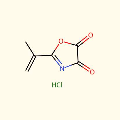 C=C(C)C1=NC(=O)C(=O)O1.Cl